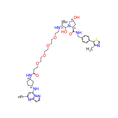 CCCc1cc(N[C@@H]2CC[C@@H](NC(=O)CCOCCOCCOCCOCCN[C@H](C(O)N3C[C@H](O)C[C@H]3C(=O)NCc3ccc(-c4scnc4C)cc3)C(C)(C)C)C2)n2nccc2n1